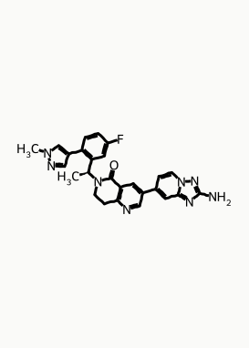 C[C@@H](c1cc(F)ccc1-c1cnn(C)c1)N1CCc2ncc(-c3ccn4nc(N)nc4c3)cc2C1=O